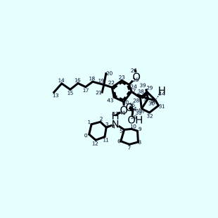 C1CCC(NC2CCCCC2)CC1.CCCCCCC(C)(C)c1cc(OC)c(C2=C[C@H]3CC[C@]2(C(=O)O)C3(C)C)c(OC)c1